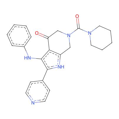 O=C1CN(C(=O)N2CCCCC2)Cc2[nH]c(-c3ccncc3)c(Nc3ccccc3)c21